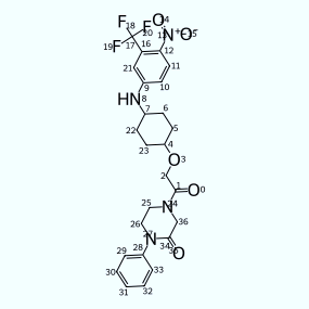 O=C(COC1CCC(Nc2ccc([N+](=O)[O-])c(C(F)(F)F)c2)CC1)N1CCN(c2ccccc2)C(=O)C1